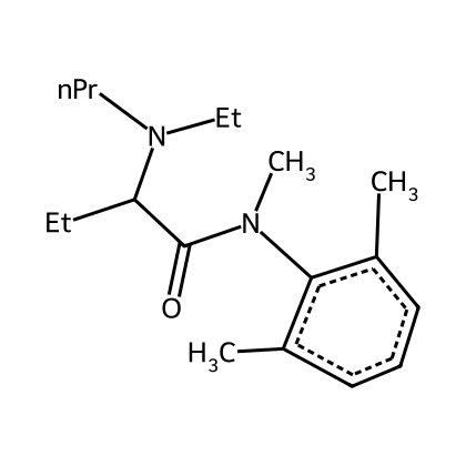 CCCN(CC)C(CC)C(=O)N(C)c1c(C)cccc1C